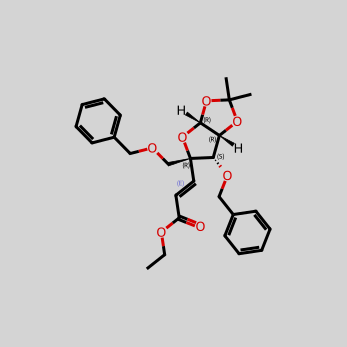 CCOC(=O)/C=C/[C@]1(COCc2ccccc2)O[C@@H]2OC(C)(C)O[C@@H]2[C@@H]1OCc1ccccc1